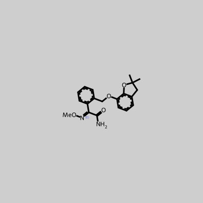 CO/N=C(/C(N)=O)c1ccccc1COc1cccc2c1OC(C)(C)C2